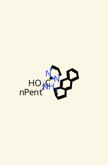 CCCCCN.O=C(O)c1ncccn1.c1ccc2cc3ccccc3cc2c1